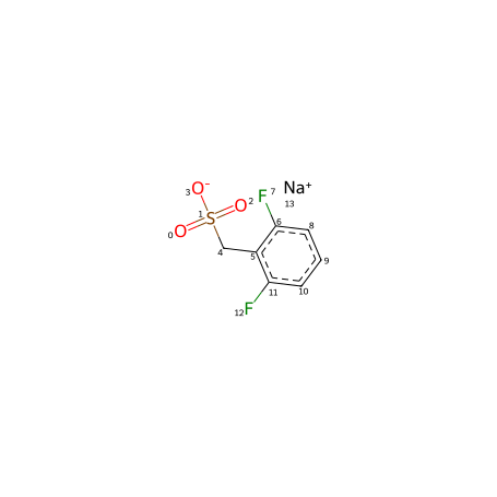 O=S(=O)([O-])Cc1c(F)cccc1F.[Na+]